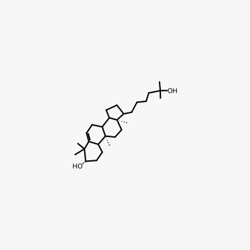 CC(C)(O)CCCCC1CCC2C3CC=C4C(CC[C@H](O)C4(C)C)[C@]3(C)CC[C@]12C